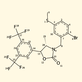 CSc1ccc(Br)c(CN2C(=O)OC(c3cc(C(F)(F)F)cc(C(F)(F)F)c3)[C@@H]2C)c1